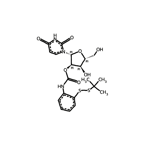 CC(C)(C)SSc1ccccc1NC(=O)O[C@@H]1[C@H](O)[C@@H](CO)O[C@H]1n1ccc(=O)[nH]c1=O